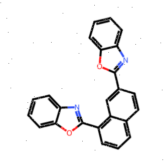 c1cc(-c2nc3ccccc3o2)c2cc(-c3nc4ccccc4o3)ccc2c1